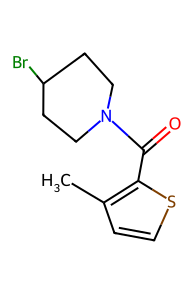 Cc1ccsc1C(=O)N1CCC(Br)CC1